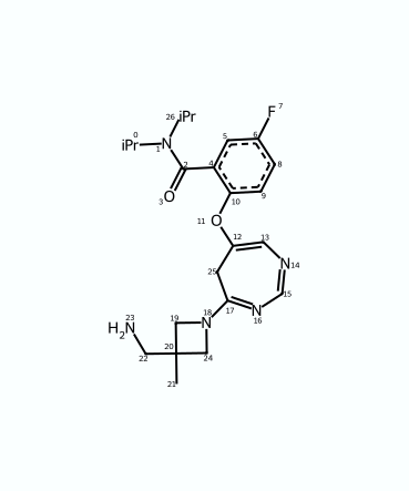 CC(C)N(C(=O)c1cc(F)ccc1OC1=CN=CN=C(N2CC(C)(CN)C2)C1)C(C)C